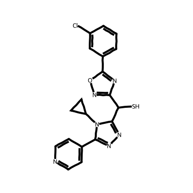 SC(c1noc(-c2cccc(Cl)c2)n1)c1nnc(-c2ccncc2)n1C1CC1